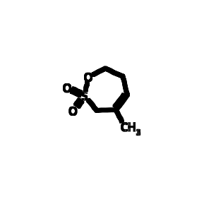 CC1=CCCOS(=O)(=O)C1